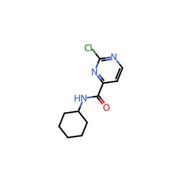 O=C(NC1CCCCC1)c1ccnc(Cl)n1